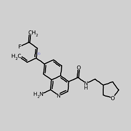 C=C/C(=C\C(=C)F)c1ccc2c(C(=O)NCC3CCOC3)cnc(N)c2c1